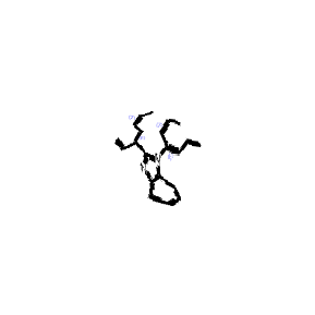 C=C/C=C(\C=C/C)n1c(/C(C=C)=C/C=C\C)nc2ccccc21